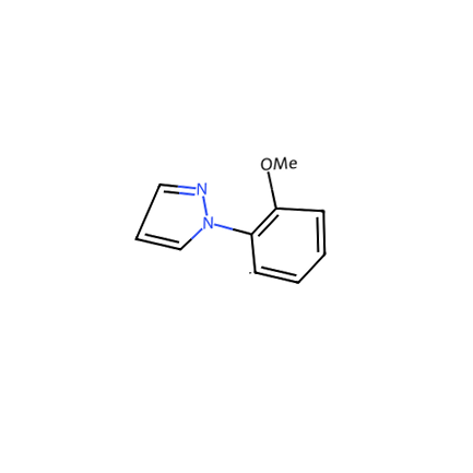 COc1ccc[c]c1-n1cccn1